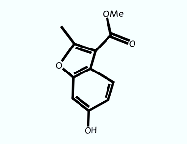 COC(=O)c1c(C)oc2cc(O)ccc12